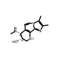 CN[C@@H]1c2ccn3c(C)c(C)nc3c2NC[C@@H]1O